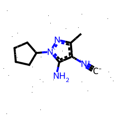 [C-]#[N+]c1c(C)nn(C2CCCC2)c1N